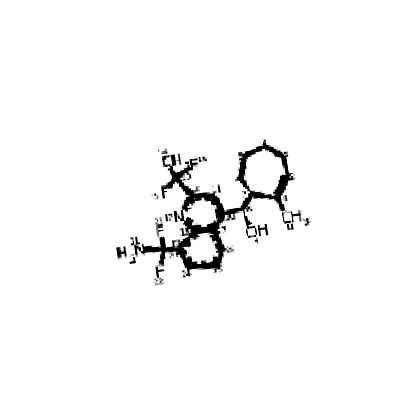 CC1=CCCCC[C@@H]1[C@@H](O)c1cc(C(C)(F)F)nc2c(C(N)(F)F)cccc12